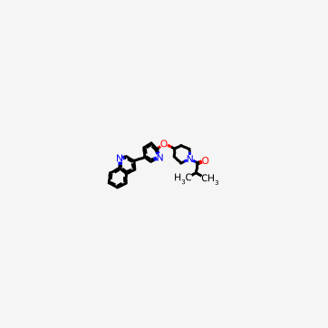 CC(C)C(=O)N1CCC(Oc2ccc(-c3cnc4ccccc4c3)cn2)CC1